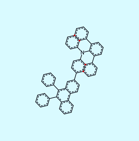 c1ccc(-c2cccc(-c3ccccc3)c2N(c2ccccc2)c2ccc(-c3ccc4c(c3)c(-c3ccccc3)c(-c3ccccc3)c3ccccc34)cc2)cc1